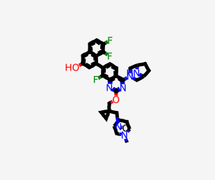 CN1CC2CCC1CN2CC1(COc2nc(N3CC4CCC(C3)N4)c3ccc(-c4cc(O)cc5ccc(F)c(F)c45)c(F)c3n2)CC1